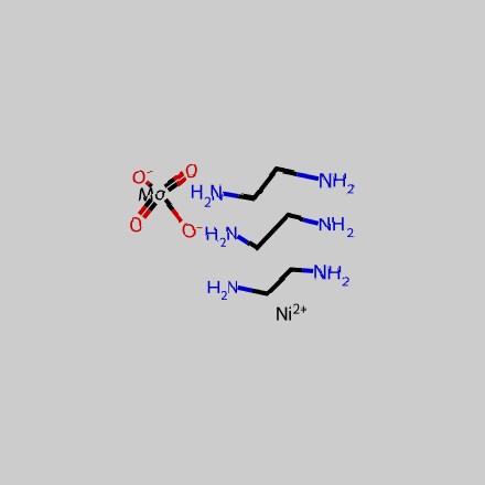 NCCN.NCCN.NCCN.[Ni+2].[O]=[Mo](=[O])([O-])[O-]